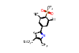 [2H]c1cc(-c2nc(C)c(C(=O)OCC)[se]2)cc(C#N)c1S(=O)(=O)C(F)(F)F